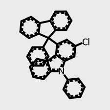 Clc1cc(C2(c3ccccc3)c3ccccc3-c3ccccc32)c2c3ccccc3n(-c3ccccc3)c2c1